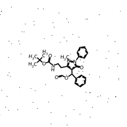 Cn1c(CCNC(=O)OC(C)(C)C)c(C(OC=O)c2ccccc2)c(=O)n1-c1ccccc1